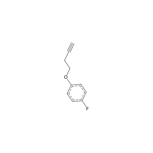 C#CCCOc1ccc(F)cc1